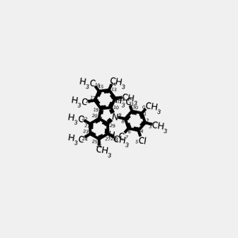 Cc1c(C)c(Cl)c(C)c(-n2c3c(C)c(C)c(C)c(C)c3c3c(C)c(C)c(C)c(C)c32)c1C